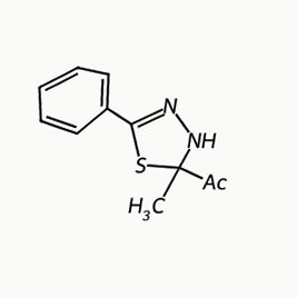 CC(=O)C1(C)NN=C(c2ccccc2)S1